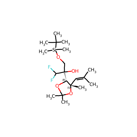 CC(C)=C[C@]1(C)OC(C)(C)O[C@@H]1C(O)(CO[Si](C)(C)C(C)(C)C)C(F)F